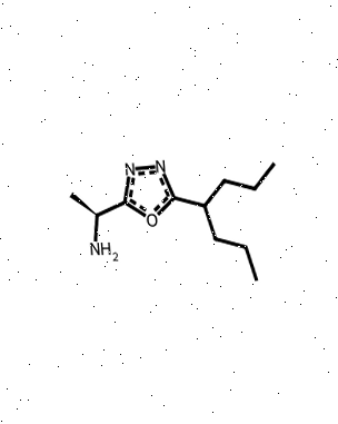 CCCC(CCC)c1nnc([C@H](C)N)o1